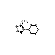 Cc1nccn1C1CCCCC1